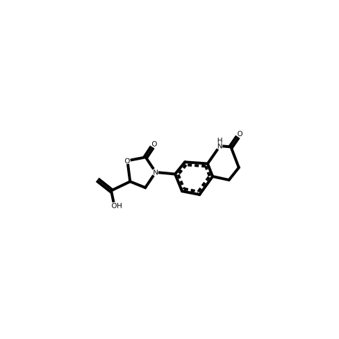 C=C(O)C1CN(c2ccc3c(c2)NC(=O)CC3)C(=O)O1